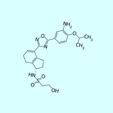 CC(C)Oc1ccc(-c2nc(C3=CCCC4=C3CC[C@@H]4NS(=O)(=O)CCO)no2)cc1N